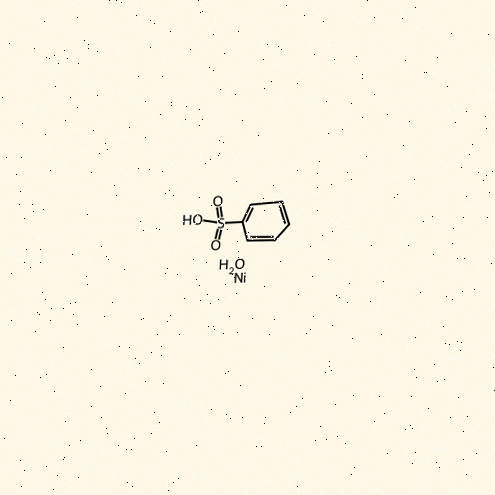 O.O=S(=O)(O)c1ccccc1.[Ni]